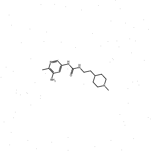 Cc1ncc(NC(=O)NCCC2CCN(C)CC2)cc1N